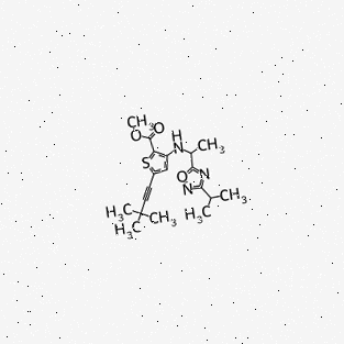 COC(=O)c1sc(C#CC(C)(C)C)cc1NC(C)c1nc(C(C)C)no1